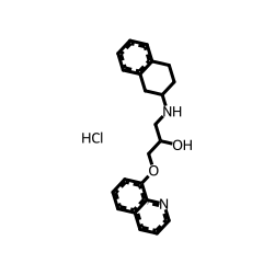 Cl.OC(CNC1CCc2ccccc2C1)COc1cccc2cccnc12